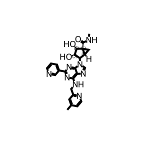 CNC(=O)[C@@]12C[C@@H]1C(n1cnc3c(NCc4cc(C)ccn4)nc(-c4cccnc4)nc31)[C@H](O)[C@@H]2O